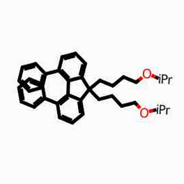 CC(C)OCCCCC1(CCCCOC(C)C)c2cccc(-c3ccccc3)c2-c2c(-c3ccccc3)cccc21